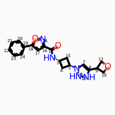 O=C(N[C@H]1C[C@H](N2C=C(C3COC3)NN2)C1)c1cc(-c2ccccc2)on1